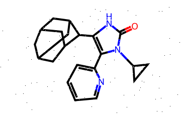 O=c1[nH]c(C2C3CC4CC(C3)CC2C4)c(-c2ccccn2)n1C1CC1